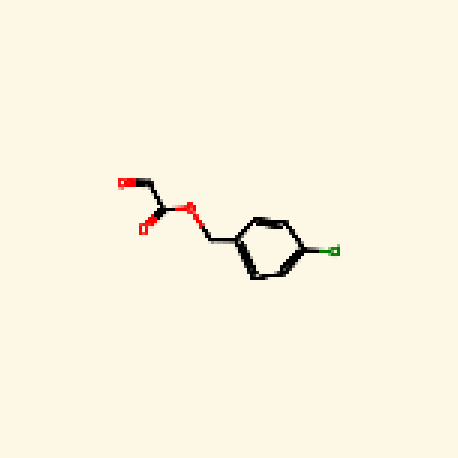 O=[C]C(=O)OCc1ccc(Cl)cc1